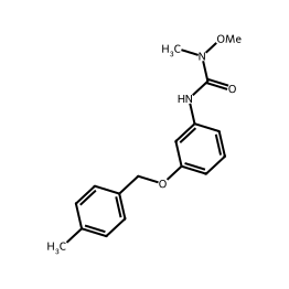 CON(C)C(=O)Nc1cccc(OCc2ccc(C)cc2)c1